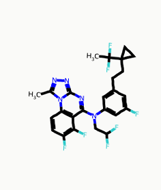 Cc1nnc2nc(N(CC(F)F)c3cc(F)cc(CCC4(C(C)(F)F)CC4)c3)c3c(F)c(F)ccc3n12